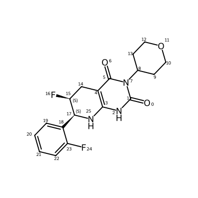 O=c1[nH]c2c(c(=O)n1C1CCOCC1)C[C@H](F)[C@H](c1ccccc1F)N2